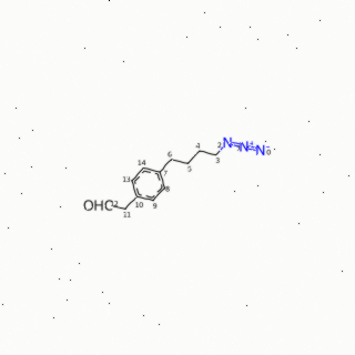 [N-]=[N+]=NCCCCc1ccc(CC=O)cc1